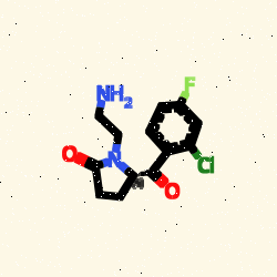 NCCN1C(=O)CC[C@H]1C(=O)c1ccc(F)cc1Cl